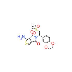 CS(=O)(=O)CC(c1ccc2c(c1)OCCO2)N1C(=O)c2csc(N)c2C1=O